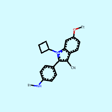 CCNc1ccc(-c2c(C#N)c3ccc(OCC)cc3n2C2CCC2)cc1